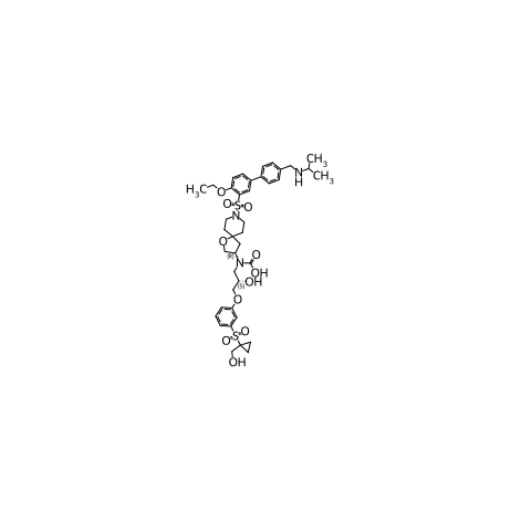 CCOc1ccc(-c2ccc(CNC(C)C)cc2)cc1S(=O)(=O)N1CCC2(CC1)C[C@@H](N(C[C@H](O)COc1cccc(S(=O)(=O)C3(CO)CC3)c1)C(=O)O)CO2